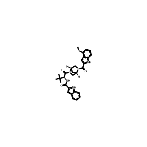 COc1cccc2[nH]c(C(=O)N3C[C@@H]4C[C@H]3CN4C(=O)[C@@H](NC(=O)c3cc4ccccc4[nH]3)C(C)(C)C)cc12